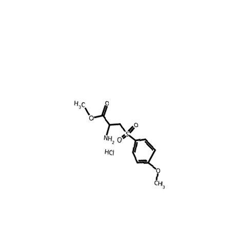 COC(=O)C(N)CS(=O)(=O)c1ccc(OC)cc1.Cl